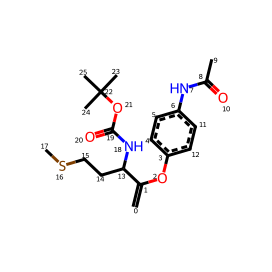 C=C(Oc1ccc(NC(C)=O)cc1)C(CCSC)NC(=O)OC(C)(C)C